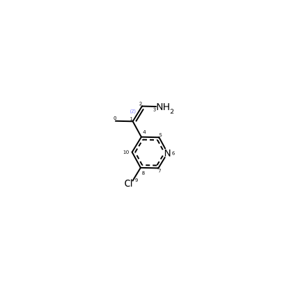 C/C(=C/N)c1cncc(Cl)c1